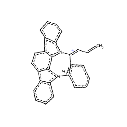 C=C/C=C(\C=C)n1c2ccccc2c2ccc3c4ccccc4n(-c4ccccc4)c3c21